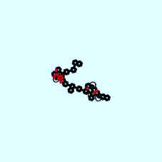 c1cc(-c2ccc(N(c3ccccc3-c3cccc4c3oc3cc5cc(-c6ccc(-c7ccc(-c8ccc(N(c9ccccc9-c9cccc%10c9oc9cc%11ccccc%11cc9%10)c9cccc%10oc%11ccccc%11c9%10)cc8)cc7)c7ccccc67)ccc5cc34)c3cccc4oc5ccccc5c34)cc2)cc(-c2cccc3ccccc23)c1